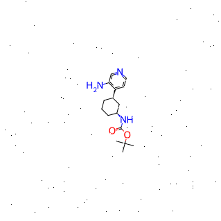 CC(C)(C)OC(=O)N[C@H]1CCC[C@@H](c2ccncc2N)C1